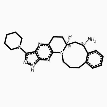 N[C@H]1C[C@@H]2CCc3nc4c(N5CCCCC5)n[nH]c4nc3N2CCCc2ccccc21